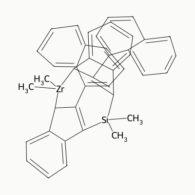 C[Si]1(C)C2=C(c3cccc4ccccc34)[CH](c3ccccc32)[Zr]([CH3])([CH3])[CH]2C(c3cccc4ccccc34)=C1c1ccccc12